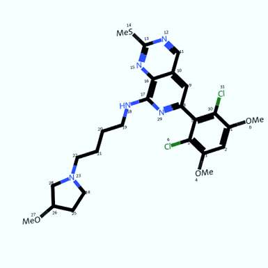 COc1cc(OC)c(Cl)c(-c2cc3cnc(SC)nc3c(NCCCCN3CCC(OC)C3)n2)c1Cl